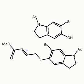 CC(=O)N1CCc2cc(O)c(Br)cc21.COC(=O)/C=C/COc1cc2c(cc1Br)N(C(C)=O)CC2